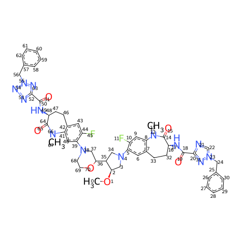 CO[C@@H]1CN(c2cc3c(cc2F)N(C)C(=O)[C@@H](NC(=O)c2ncn(Cc4ccccc4)n2)CC3)CC1C1CN(c2cc3c(cc2F)CC[C@H](NC(=O)c2nnn(Cc4ccccc4)n2)C(=O)N3C)CCO1